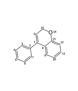 C1=C(c2ccccc2)c2ccccc2OC1